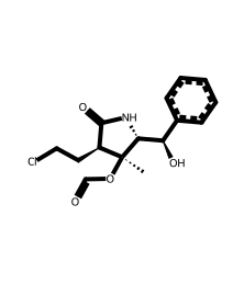 C[C@@]1(OC=O)[C@@H]([C@H](O)c2ccccc2)NC(=O)[C@@H]1CCCl